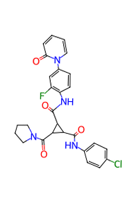 O=C(Nc1ccc(Cl)cc1)C1C(C(=O)Nc2ccc(-n3ccccc3=O)cc2F)C1C(=O)N1CCCC1